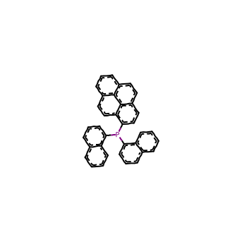 c1ccc2c(P(c3cccc4ccccc34)c3ccc4ccc5cccc6ccc3c4c56)cccc2c1